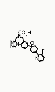 O=C(O)N1Cc2cc(C3(Cl)CC=C(c4ncccc4F)CC3)ccc2-n2cnnc2C1